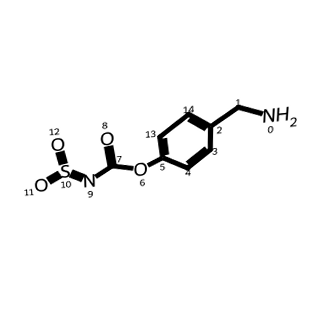 NCc1ccc(OC(=O)N=S(=O)=O)cc1